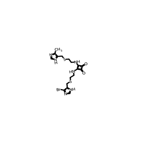 Cc1nc[nH]c1CSCCNc1c(NCCSCc2[nH]cnc2Br)c(=O)c1=O